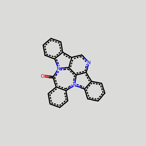 O=c1c2ccccc2n2c3ccccc3c3ncc4c5ccccc5n1c4c32